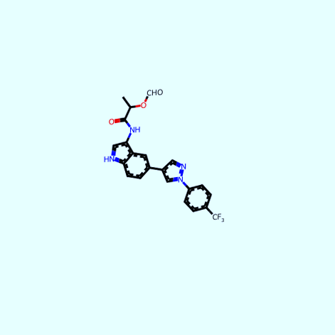 CC(OC=O)C(=O)Nc1c[nH]c2ccc(-c3cnn(-c4ccc(C(F)(F)F)cc4)c3)cc12